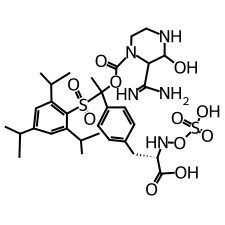 CC(C)c1cc(C(C)C)c(S(=O)(=O)C(C)(OC(=O)N2CCNC(O)C2C(=N)N)c2ccc(C[C@H](NOS(=O)(=O)O)C(=O)O)cc2)c(C(C)C)c1